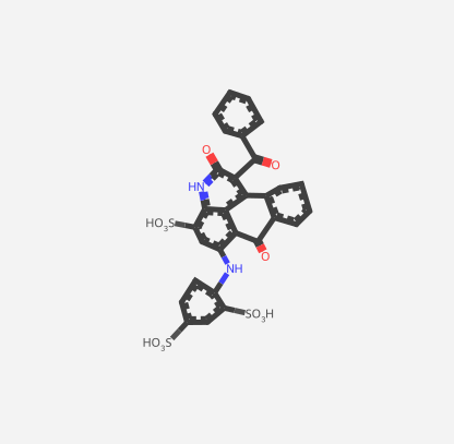 O=C(c1ccccc1)c1c2c3c(c(Nc4ccc(S(=O)(=O)O)cc4S(=O)(=O)O)cc(S(=O)(=O)O)c3[nH]c1=O)C(=O)c1ccccc1-2